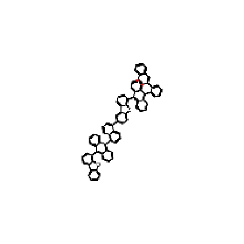 c1ccc(-c2c3ccccc3c(-c3cccc4c3sc3ccc(-c5cccc6c(-c7c8ccccc8c(-c8cccc9c8oc8ccccc89)c8ccccc78)cccc56)cc34)c3ccccc23)c(-c2ccc3ccccc3c2)c1